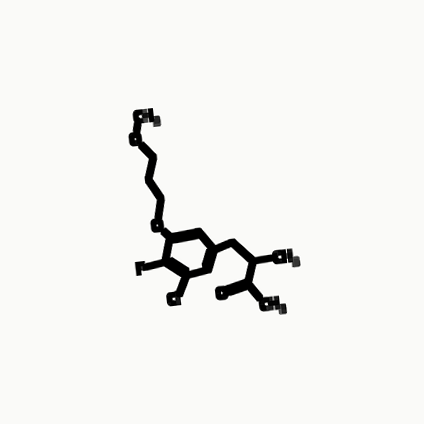 COCCCOc1cc(CC(C)C(C)=O)cc(Cl)c1F